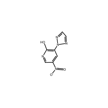 O=[N+]([O-])c1cnc(O)c(-n2nccn2)c1